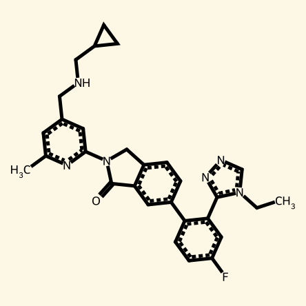 CCn1cnnc1-c1cc(F)ccc1-c1ccc2c(c1)C(=O)N(c1cc(CNCC3CC3)cc(C)n1)C2